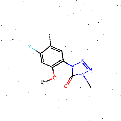 Cc1cc(-n2nnn(C)c2=O)c(OC(C)C)cc1F